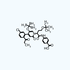 BC(B)(B)Oc1cn(C(CCOC(C)(C)C)C(=O)Nc2ccc(C(=O)O)cc2)c(=O)cc1-c1cc(Cl)ccc1C(=O)CC